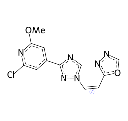 COc1cc(-c2ncn(/C=C\c3nnco3)n2)cc(Cl)n1